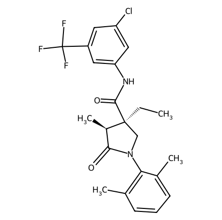 CC[C@]1(C(=O)Nc2cc(Cl)cc(C(F)(F)F)c2)CN(c2c(C)cccc2C)C(=O)[C@H]1C